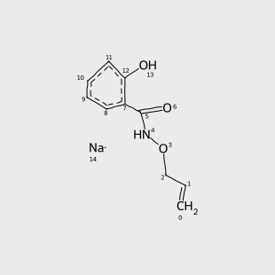 C=CCONC(=O)c1ccccc1O.[Na]